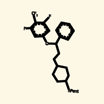 CCCCCC1CCC(CCC(Oc2cc(F)c(C(F)(F)F)c(F)c2)c2ccccc2)CC1